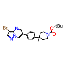 CC(C)(C)OC(=O)N1CCC(C)(c2ccc(-c3cnc4c(Br)cnn4c3)cc2)CC1